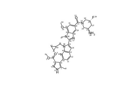 COC(=O)c1n[nH]c(C)c1-c1ccc2cc(-c3nc4cc(C(=O)N5C[C@H](N)C[C@@H](F)C5)cc(OC)c4n3C)n(CC3CC3)c2n1